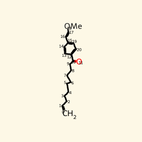 C=CCCCCCCCCC(=O)c1ccc(C=COC)cc1